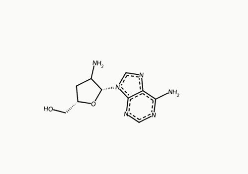 Nc1ncnc2c1ncn2[C@@H]1O[C@H](CO)CC1N